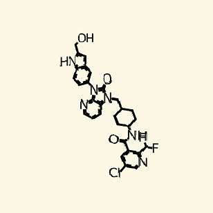 O=C(NC1CCC(Cn2c(=O)n(-c3ccc4[nH]c(CO)cc4c3)c3ncccc32)CC1)c1cc(Cl)cnc1C(F)F